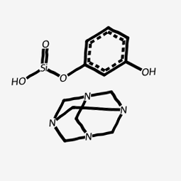 C1N2CN3CN1CN(C2)C3.O=[Si](O)Oc1cccc(O)c1